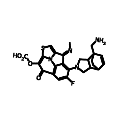 CN=c1c2c(N3CC4C5C=CC(CN)(CC5)C4C3)c(F)cc3c(=O)c(OC(=O)O)c4scc1n4c32